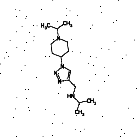 CC(C)NCc1cn(C2CCN(C(C)C)CC2)nn1